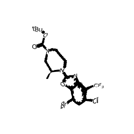 C[C@H]1CN(C(=O)OC(C)(C)C)CCN1c1nc2c(C(F)(F)F)c(Cl)cc(Br)c2o1